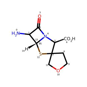 NC1C(=O)N2C(C(=O)O)C3(CCOC3)S[C@H]12